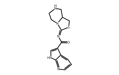 O=C(/N=C1\SCC2CNCCN12)c1c[nH]c2ncccc12